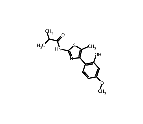 COc1ccc(-c2nc(NC(=O)C(C)C)sc2C)c(O)c1